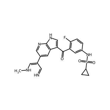 CN/C=C(\C=N)c1cnc2[nH]cc(C(=O)c3cc(NS(=O)(=O)C4CC4)ccc3F)c2c1